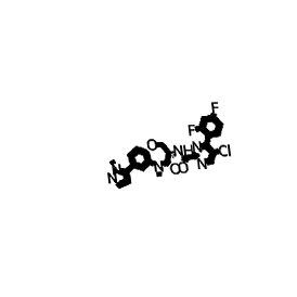 CN1C(=O)[C@@H](NC(=O)c2ncc(Cl)c(-c3ccc(F)cc3F)n2)COc2ccc(-c3ccnn3C)cc21